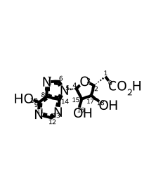 O=C(O)C[C@H]1O[C@@H](n2cnc3c(O)ncnc32)C(O)C1O